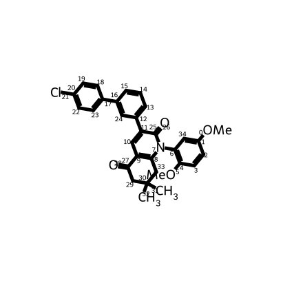 COc1ccc(OC)c(-n2c3c(cc(-c4cccc(-c5ccc(Cl)cc5)c4)c2=O)C(=O)CC(C)(C)C3)c1